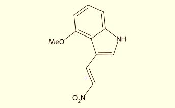 COc1cccc2[nH]cc(/C=C/[N+](=O)[O-])c12